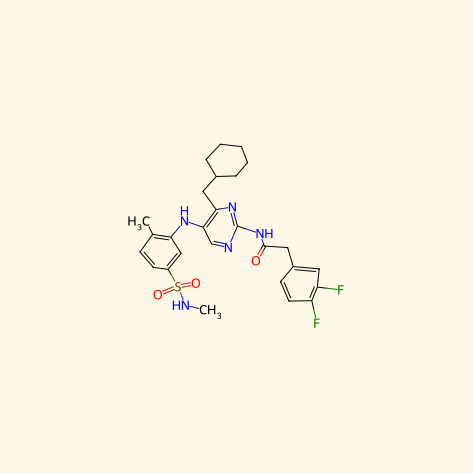 CNS(=O)(=O)c1ccc(C)c(Nc2cnc(NC(=O)Cc3ccc(F)c(F)c3)nc2CC2CCCCC2)c1